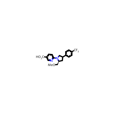 COC[C@@H]1CC(c2ccc(C(F)(F)F)cc2)CN1c1ccc(C(=O)O)cn1